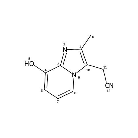 Cc1nc2c(O)cccn2c1CC#N